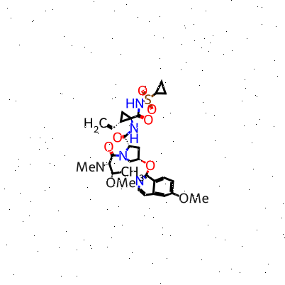 C=C[C@@H]1C[C@]1(NC(=O)[C@@H]1C[C@@H](Oc2nccc3cc(OC)ccc23)CN1C(=O)[C@@H](NC)[C@H](C)OC)C(=O)NS(=O)(=O)C1CC1